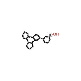 OBc1cccc(-c2ccc3c4ccccc4c4ccccc4c3c2)c1